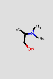 CCC(CO)N(C)C(C)(C)C